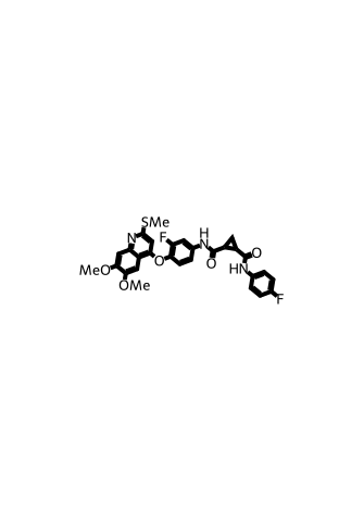 COc1cc2nc(SC)cc(Oc3ccc(NC(=O)C4CC4C(=O)Nc4ccc(F)cc4)cc3F)c2cc1OC